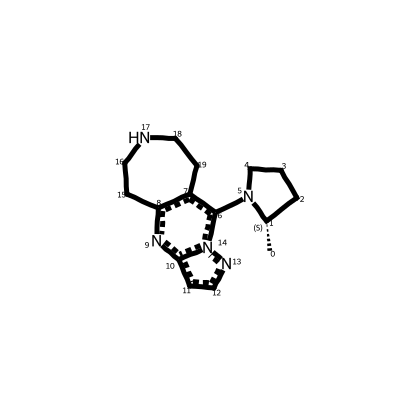 C[C@H]1CCCN1c1c2c(nc3ccnn13)CCNCC2